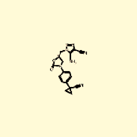 N#Cc1nnn(C[C@H]2CN(c3ccc(C4(C#N)CC4)cc3)C(=O)O2)c1N